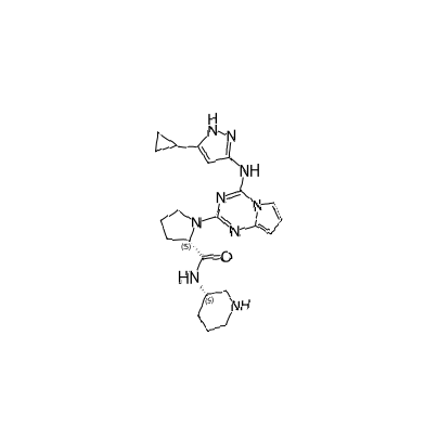 O=C(N[C@H]1CCCNC1)[C@@H]1CCCN1c1nc(Nc2cc(C3CC3)[nH]n2)n2cccc2n1